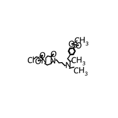 CCCN(CCCCN1CCCN(S(=O)(=O)CCl)CC1=O)C(C)Cc1ccc(S(C)(=O)=O)cc1